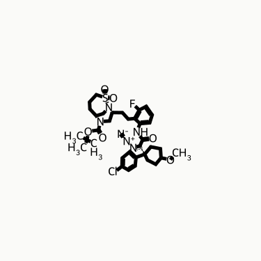 COC1CCC(c2ccc(Cl)cc2)([C@H](N=[N+]=[N-])C(=O)Nc2cccc(F)c2CCC2CN(C(=O)OC(C)(C)C)C3CCCS(=O)(=O)N2C3)CC1